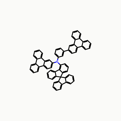 c1cc(-c2ccc3c4ccccc4c4ccccc4c3c2)cc(N(c2ccc3c4ccccc4c4ccccc4c3c2)c2cccc3c2-c2ccccc2C32c3ccccc3-c3ccccc32)c1